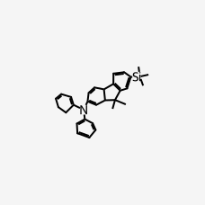 CC1(C)c2cc([Si](C)(C)C)ccc2C2C=CC(N(C3=CC=CCC3)c3ccccc3)=CC21